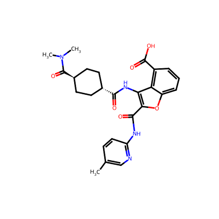 Cc1ccc(NC(=O)c2oc3cccc(C(=O)O)c3c2NC(=O)[C@H]2CC[C@H](C(=O)N(C)C)CC2)nc1